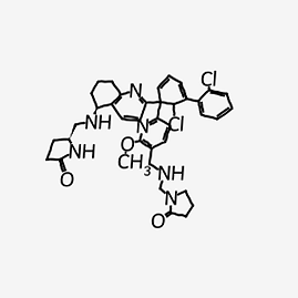 COc1nc(C2(c3ccc4c(n3)CCC[C@@H]4NC[C@@H]3CCC(=O)N3)C=CC=C(c3ccccc3Cl)C2Cl)ccc1CNCN1CCCC1=O